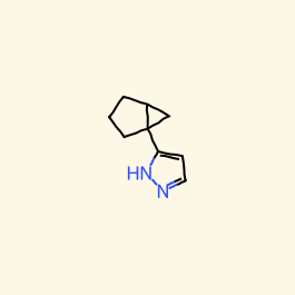 c1cc(C23CCCC2C3)[nH]n1